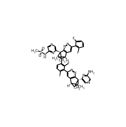 CC1(C)[C@@H]2c3cc(-c4c(F)cccc4F)nnc3[C@@]1(c1cncc(NS(C)(=O)=O)n1)CC2c1ccc(F)c(-c2cc3c(nn2)[C@@]2(c4cncc(N)n4)CC[C@@H]3C2(C)C)c1F